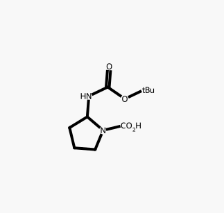 CC(C)(C)OC(=O)NC1CCCN1C(=O)O